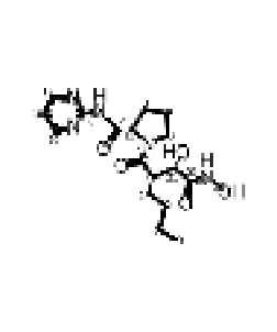 CCCC[C@@H](C(=O)N1CCC[C@H]1C(=O)Nc1ncccn1)[C@H](O)C(=O)NO